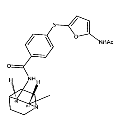 CC(=O)Nc1ccc(Sc2ccc(C(=O)N[C@@H]3C4CCN(CC4)[C@H]3C)cc2)o1